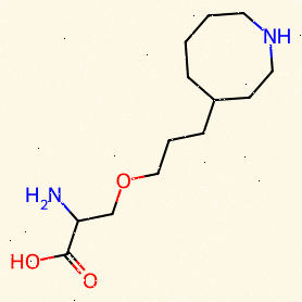 NC(COCCCC1CCCCNCC1)C(=O)O